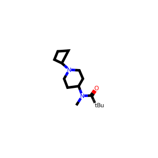 CN(C(=O)C(C)(C)C)C1CCN(C2CCC2)CC1